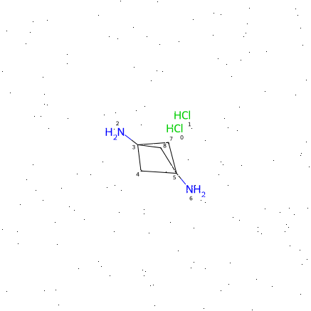 Cl.Cl.NC12CC(N)(C1)C2